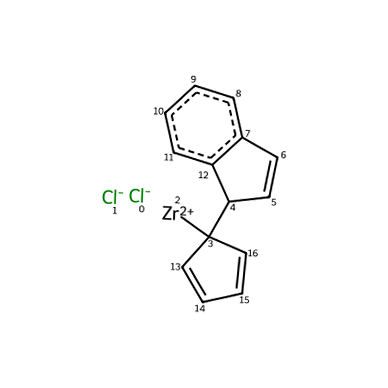 [Cl-].[Cl-].[Zr+2][C]1(C2C=Cc3ccccc32)C=CC=C1